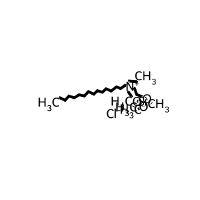 CCCCCCCCCCCCCCCC[N+](CCC)(CCC)CCC[Si](OC)(OC)OC.[Cl-]